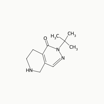 CC(C)(C)n1ncc2c(c1=O)CCNC2